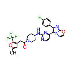 Cc1cc(CC(=O)N2CCC(Nc3nccc(-c4c(-c5ccc(F)cc5)nc5occn45)n3)CC2)c(C(F)(F)F)o1